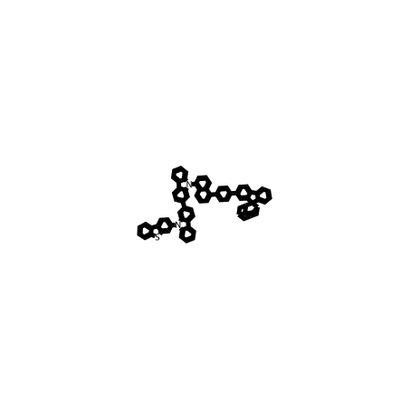 c1ccc2c(c1)-c1ccc(-c3ccc(-c4cccc5c(-n6c7ccccc7c7ccc(-c8ccc9c%10ccccc%10n(-c%10ccc%11c(c%10)sc%10ccccc%10%11)c9c8)cc76)cccc45)cc3)cc1C21C2CC3CC(C2)CC1C3